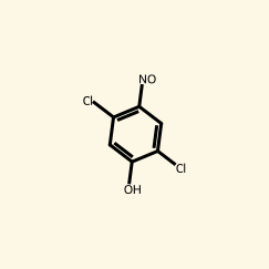 O=Nc1cc(Cl)c(O)cc1Cl